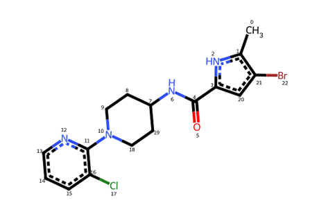 Cc1[nH]c(C(=O)NC2CCN(c3ncccc3Cl)CC2)cc1Br